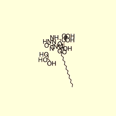 CCCCCCCCCCCCCCCC(=O)O[C@@H]1[C@H](O)[C@@H](COP(=O)(O)O)O[C@H]1n1cnc2c(=O)[nH]c(N)nc21.OCC(O)CO